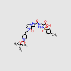 Cc1ccc(S(=O)(=O)NC(CNC(=O)c2cc3n(n2)CCCN(CCC2CCN(C(=O)OC(C)(C)C)CC2)C3=O)C(=O)O)cc1